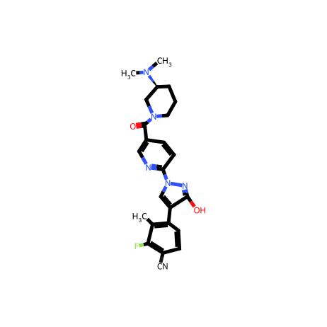 Cc1c(-c2cn(-c3ccc(C(=O)N4CCC[C@H](N(C)C)C4)cn3)nc2O)ccc(C#N)c1F